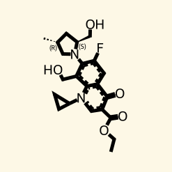 CCOC(=O)c1cn(C2CC2)c2c(CO)c(N3C[C@H](C)C[C@H]3CO)c(F)cc2c1=O